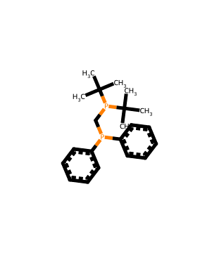 CC(C)(C)P(CP(c1ccccc1)c1ccccc1)C(C)(C)C